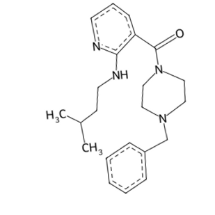 CC(C)CCNc1ncccc1C(=O)N1CCN(Cc2ccccc2)CC1